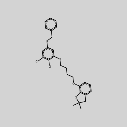 CC1(C)Cc2cccc(OCCCCOc3cc(OCc4ccccc4)cc(Cl)c3Cl)c2O1